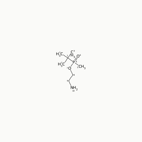 CC(C)(C)P(C)(=O)OCCN